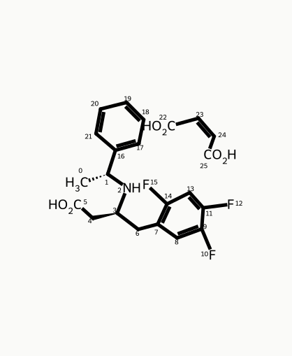 C[C@@H](N[C@H](CC(=O)O)Cc1cc(F)c(F)cc1F)c1ccccc1.O=C(O)/C=C\C(=O)O